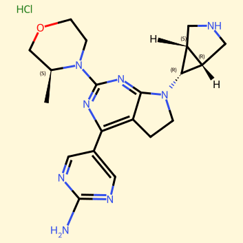 C[C@H]1COCCN1c1nc(-c2cnc(N)nc2)c2c(n1)N([C@@H]1[C@@H]3CNC[C@@H]31)CC2.Cl